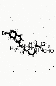 C[C@H](NC=O)C(=O)N1CCC[C@@H](C(=O)N[C@H](C)c2ccc3ccc(Br)cc3n2)N1